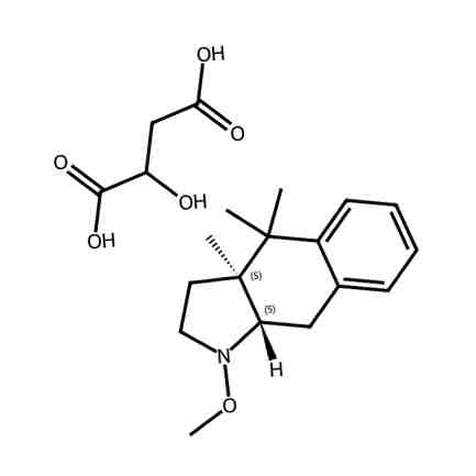 CON1CC[C@]2(C)[C@@H]1Cc1ccccc1C2(C)C.O=C(O)CC(O)C(=O)O